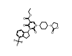 CCOC(=O)c1cn([C@H]2CC[C@@H](N3CCOC3=O)CC2)c(=O)n(C2CCc3c2cccc3C(F)(F)F)c1=O